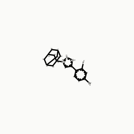 Fc1cc(Br)ccc1-c1cn(C23CC4CC(CC(C4)C2)C3)nn1